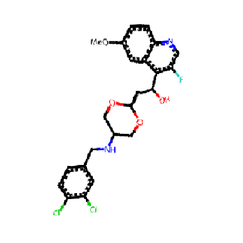 COc1ccc2ncc(F)c(C(O)CC3OCC(NCc4ccc(Cl)c(Cl)c4)CO3)c2c1